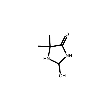 CC1(C)NC(O)NC1=O